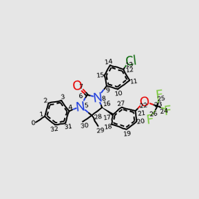 Cc1ccc(N2C(=O)N(c3ccc(Cl)cc3)[C@@H](c3cccc(OC(F)(F)F)c3)C2(C)C)cc1